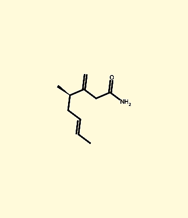 C=C(CC(N)=O)[C@H](C)C/C=C/C